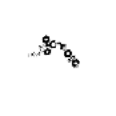 N#CC(c1ccccc1)(C1CCN(CC2CN(c3ccc(S(=O)(=O)c4ccncc4)cc3)C2)CC1)[C@@H]1CCC[C@H]1NC(=O)O